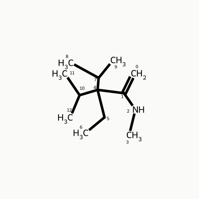 C=C(NC)C(CC)(C(C)C)C(C)C